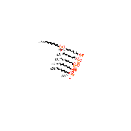 CCCCCCCCCCCCCCCCCCO[PH](=O)[O-].CCCCCCCCCCCCCCCCCCO[PH](=O)[O-].CCCCCCCCCCCCCCCCCCO[PH](=O)[O-].CCCCCCCCCCCCCCCCCCO[PH](=O)[O-].CCCCCCCCCCCCCCCCCCO[PH](=O)[O-].CCCCCCCCCCCCCCCCCCO[PH](=O)[O-].[Mo+6]